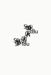 CC(Cc1cc(C(C)(C)C)cc2nc(-c3ccc(-c4nc5cc(C(C)(C)C)cc(CC(C)C[Si](C)(O[Si](C)(C)C)O[Si](C)(C)C)c5o4)cc3)oc12)C[Si](C)(O[Si](C)(C)C)O[Si](C)(C)C